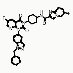 O=C(NC1CCC(n2c(=O)c3cc(F)cnc3n(-c3ccc4c(cnn4Cc4ccccc4)c3)c2=O)CC1)c1cn2cc(F)ccc2n1